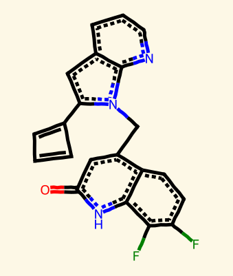 O=c1cc(Cn2c(C3=CC=C3)cc3cccnc32)c2ccc(F)c(F)c2[nH]1